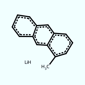 Cc1cccc2cc3ccccc3cc12.[LiH]